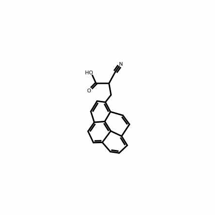 N#CC(Cc1ccc2ccc3cccc4ccc1c2c34)C(=O)O